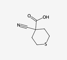 N#CC1(C(=O)O)CCSCC1